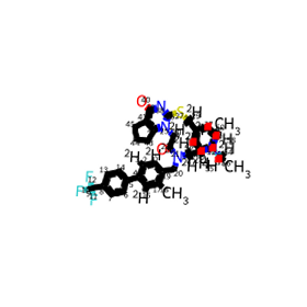 [2H]c1c([2H])c(-c2ccc(C(F)(F)F)cc2)c([2H])c(C)c1CN(C(=O)Cn1c(SC([2H])([2H])c2ccc(F)cc2)nc(=O)c2c1CCC2)C([2H])([2H])C([2H])([2H])N(C([2H])([2H])C)C([2H])([2H])C